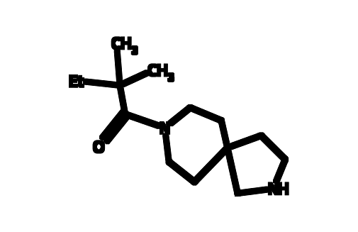 CCC(C)(C)C(=O)N1CCC2(CCNC2)CC1